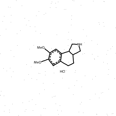 COc1cc2c(cc1OC)C1CNCC1CC2.Cl